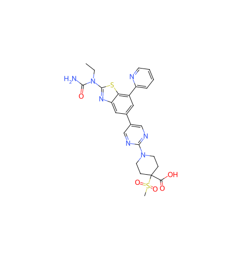 CCN(C(N)=O)c1nc2cc(-c3cnc(N4CCC(C(=O)O)(S(C)(=O)=O)CC4)nc3)cc(-c3ccccn3)c2s1